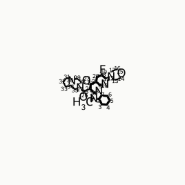 Cn1c2ccccc2n2c3nc(N4CCOCC4)c(F)cc3c(=O)c(C(=O)N3CCN4CCCC4C3)c12